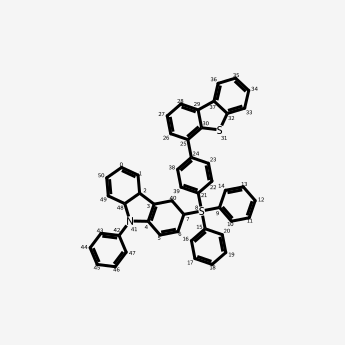 C1=CC2C3=C(C=CC(S(c4ccccc4)(c4ccccc4)c4ccc(-c5cccc6c5sc5ccccc56)cc4)C3)N(c3ccccc3)C2C=C1